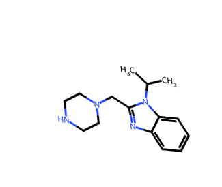 CC(C)n1c(CN2CCNCC2)nc2ccccc21